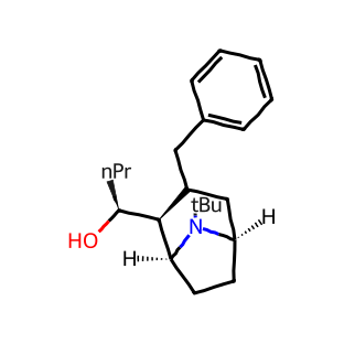 CCC[C@H](O)[C@H]1C(Cc2ccccc2)C[C@H]2CC[C@@H]1N2C(C)(C)C